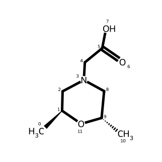 C[C@H]1CN(CC(=O)O)C[C@H](C)O1